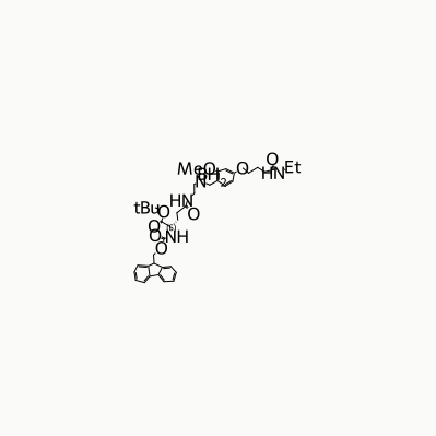 BN(CCNC(=O)CC[C@H](NC(=O)OCC1c2ccccc2-c2ccccc21)C(=O)OC(C)(C)C)Cc1ccc(OCCCC(=O)NCC)cc1OC